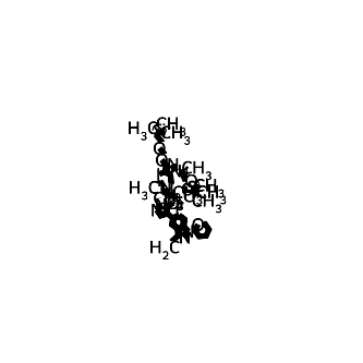 C=Cc1nn(C2CCCCO2)c2cc(F)c(-c3cnn(C)c3O[C@@H](C)CN(CC)Cc3c(I)c(OCOCC[Si](C)(C)C)nn3[C@@H](C)CO[Si](C)(C)C(C)(C)C)cc12